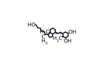 C=C1/C(=C\C=C2/CCCC3(C)C2CCC3C(C)CCCCCO)CC(O)CC1O